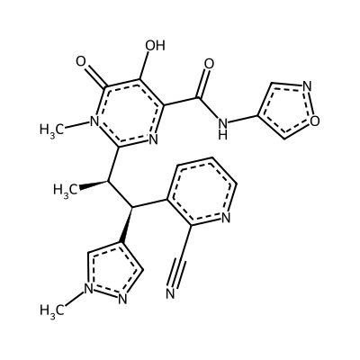 C[C@@H](c1nc(C(=O)Nc2cnoc2)c(O)c(=O)n1C)[C@H](c1cnn(C)c1)c1cccnc1C#N